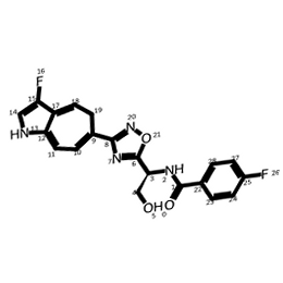 O=C(N[C@@H](CO)c1nc(C2=CC=c3[nH]cc(F)c3=CC2)no1)c1ccc(F)cc1